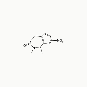 CC1c2cc([N+](=O)[O-])ccc2CCC(=O)N1C